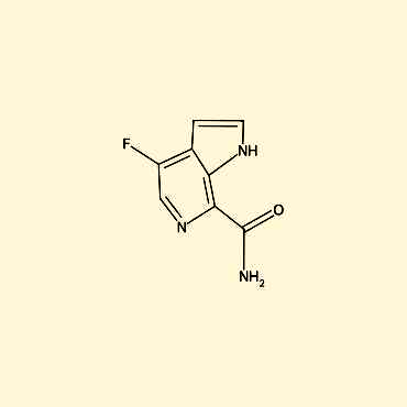 NC(=O)c1ncc(F)c2cc[nH]c12